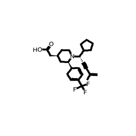 C=C(C)C#C[C@@H](C1CCCC1)N1CC[C@H](CC(=O)O)C[C@@H]1C1C=CC(C(F)(F)F)=CC1